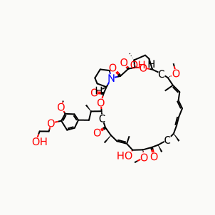 COc1cc(C[C@@H](C)[C@@H]2CC(=O)[C@H](C)/C=C(\C)[C@@H](O)[C@@H](OC)C(=O)[C@H](C)C[C@H](C)/C=C/C=C/C=C(\C)[C@@H](OC)C[C@@H]3CC[C@@H](C)[C@@](O)(O3)C(=O)C(=O)N3CCCC[C@H]3C(=O)O2)ccc1OCCO